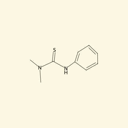 CN(C)C(=S)Nc1ccccc1